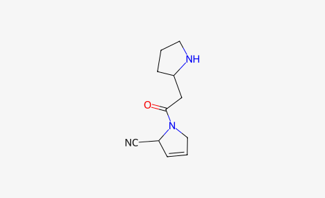 N#CC1C=CCN1C(=O)CC1CCCN1